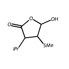 CSC1C(O)OC(=O)C1C(C)C